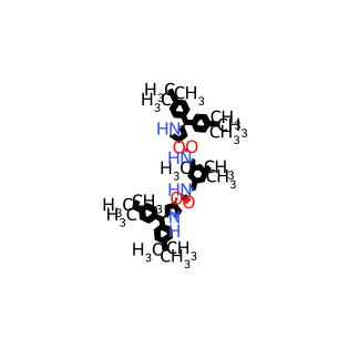 CC1(C)CC(CNC(=O)O[C@H]2CN[C@@H](C(c3ccc(C(C)(C)C)cc3)c3ccc(C(C)(C)C)cc3)C2)CC(C)(CNC(=O)O[C@H]2CN[C@@H](C(c3ccc(C(C)(C)C)cc3)c3ccc(C(C)(C)C)cc3)C2)C1